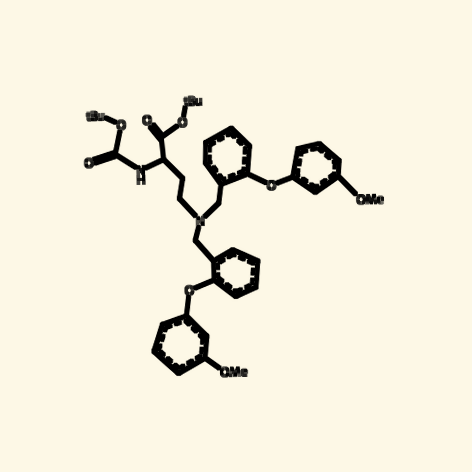 COc1cccc(Oc2ccccc2CN(CCC(NC(=O)OC(C)(C)C)C(=O)OC(C)(C)C)Cc2ccccc2Oc2cccc(OC)c2)c1